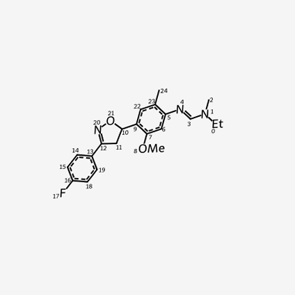 CCN(C)C=Nc1cc(OC)c(C2CC(c3ccc(F)cc3)=NO2)cc1C